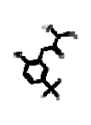 CN(C)C(=O)Cc1cc(C(F)(F)F)ccc1O